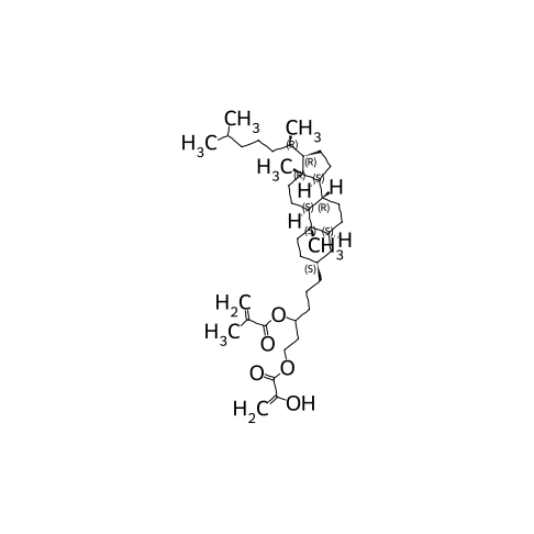 C=C(C)C(=O)OC(CCC[C@H]1CC[C@@]2(C)[C@@H](CC[C@@H]3[C@@H]2CC[C@]2(C)[C@@H]([C@H](C)CCCC(C)C)CC[C@@H]32)C1)CCOC(=O)C(=C)O